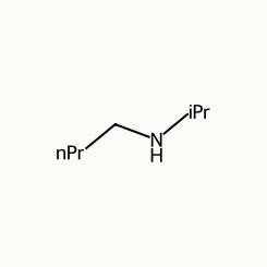 [CH2]C(C)NCCCC